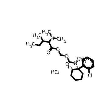 CCC(C)C(C(=O)OCOC(=O)N(C)[C@]1(c2ccccc2Cl)CCCCC1=O)N(C)C.Cl